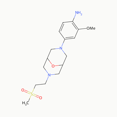 COc1cc(N2CC3CN(CCS(C)(=O)=O)CC(C2)O3)ccc1N